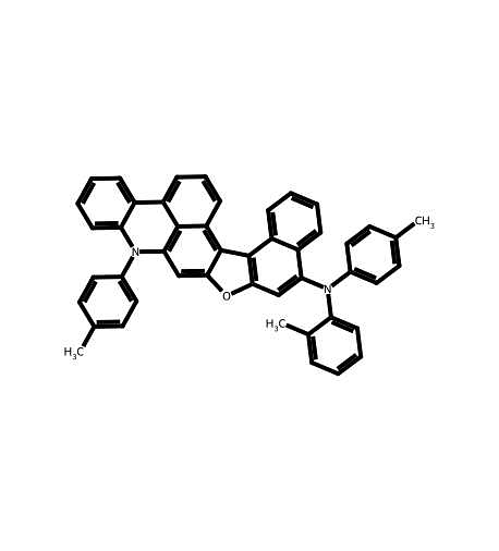 Cc1ccc(N(c2ccccc2C)c2cc3oc4cc5c6c(cccc6c4c3c3ccccc23)-c2ccccc2N5c2ccc(C)cc2)cc1